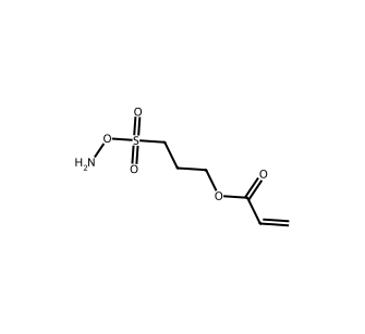 C=CC(=O)OCCCS(=O)(=O)ON